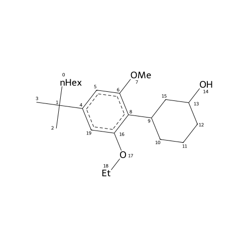 CCCCCCC(C)(C)c1cc(OC)c(C2CCCC(O)C2)c(OCC)c1